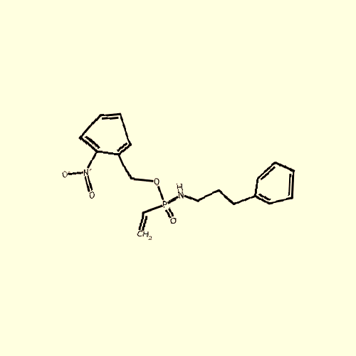 C=CP(=O)(NCCCc1ccccc1)OCc1ccccc1[N+](=O)[O-]